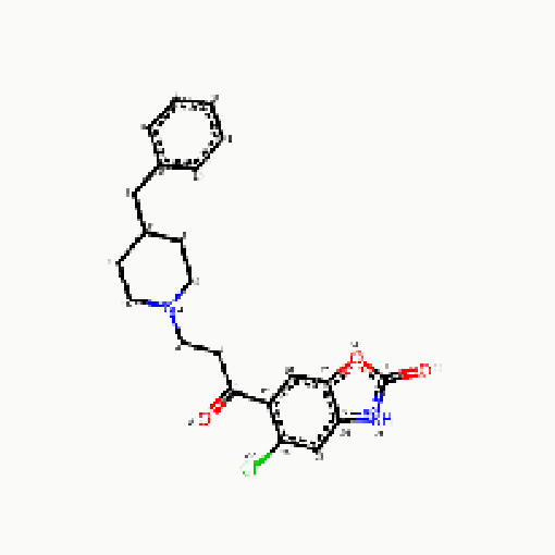 O=C(CCN1CCC(Cc2ccccc2)CC1)c1cc2oc(=O)[nH]c2cc1Cl